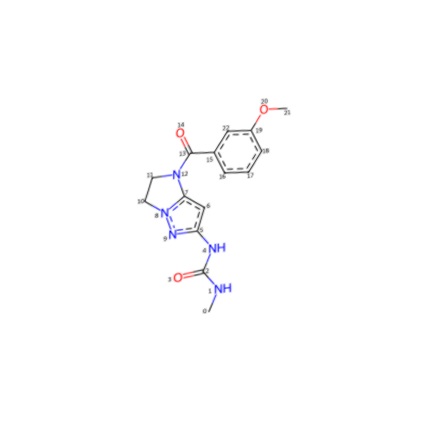 CNC(=O)Nc1cc2n(n1)CCN2C(=O)c1cccc(OC)c1